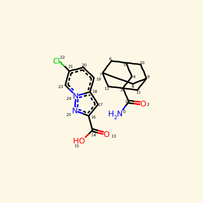 NC(=O)C12CC3CC(CC(C3)C1)C2.O=C(O)c1cc2ccc(Cl)cn2n1